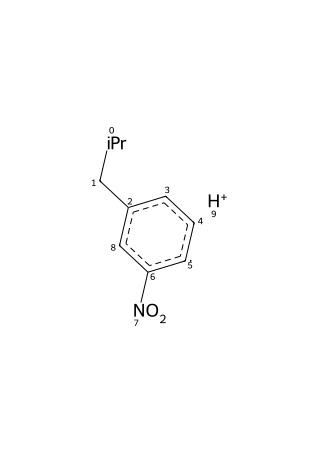 CC(C)Cc1cc[c]c([N+](=O)[O-])c1.[H+]